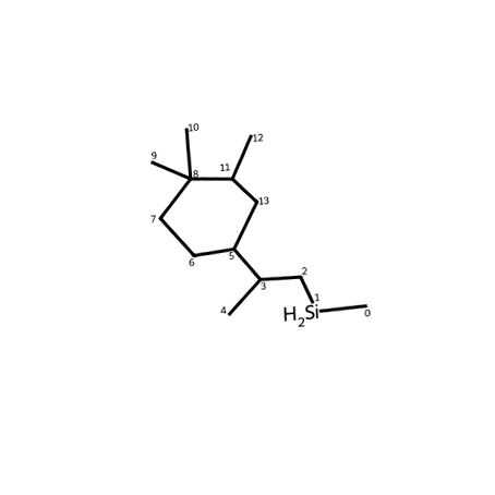 C[SiH2]CC(C)C1CCC(C)(C)C(C)C1